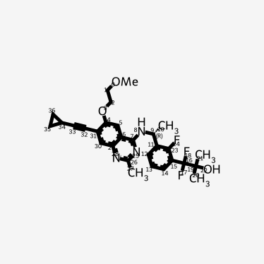 COCCOc1cc2c(N[C@H](C)c3cccc(C(F)(F)C(C)(C)O)c3F)nc(C)nc2cc1C#CC1CC1